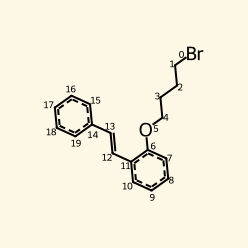 BrCCCCOc1ccccc1C=Cc1ccccc1